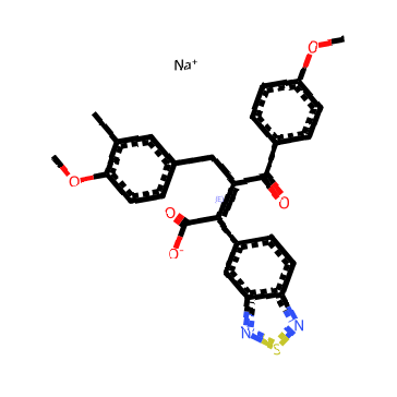 COc1ccc(C(=O)/C(Cc2ccc(OC)c(C)c2)=C(/C(=O)[O-])c2ccc3nsnc3c2)cc1.[Na+]